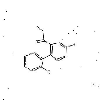 CCC(=O)c1cc(F)ccc1-c1ccccc1Cl